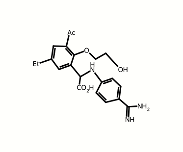 CCc1cc(C(C)=O)c(OCCO)c(C(Nc2ccc(C(=N)N)cc2)C(=O)O)c1